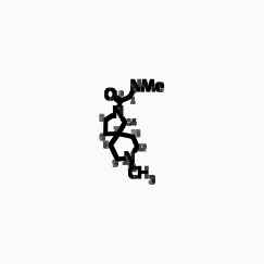 CNCC(=O)N1CCC2(CCN(C)CC2)C1